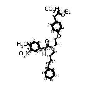 CCOC(Cc1ccc(OCCN(CCCSc2ccccc2)C(=O)Nc2ccc(C)c([N+](=O)[O-])c2)cc1)C(=O)O